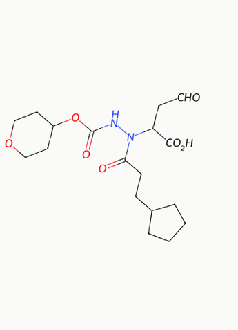 O=CCC(C(=O)O)N(NC(=O)OC1CCOCC1)C(=O)CCC1CCCC1